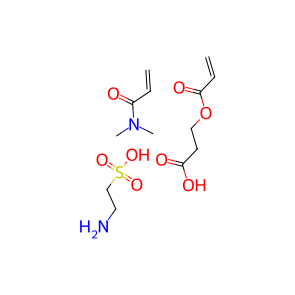 C=CC(=O)N(C)C.C=CC(=O)OCCC(=O)O.NCCS(=O)(=O)O